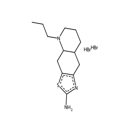 Br.Br.CCCN1CCCC2Cc3nc(N)sc3CC21